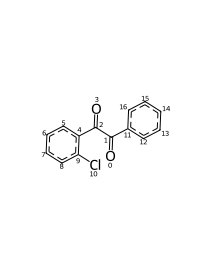 O=C(C(=O)c1ccccc1Cl)c1ccccc1